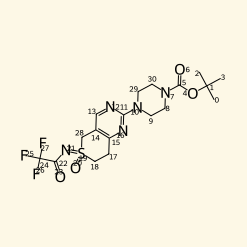 CC(C)(C)OC(=O)N1CCN(c2ncc3c(n2)CCS(=O)(=NC(=O)C(F)(F)F)C3)CC1